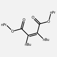 CCCC/C(C(=O)OCCC)=C(\CCCC)C(=O)OCCC